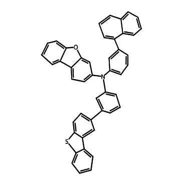 c1cc(-c2ccc3sc4ccccc4c3c2)cc(N(c2cccc(-c3cccc4ccccc34)c2)c2ccc3c(c2)oc2ccccc23)c1